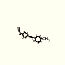 CC1=CC=C(C#Cc2ccc(SC#N)cc2)CC#C1